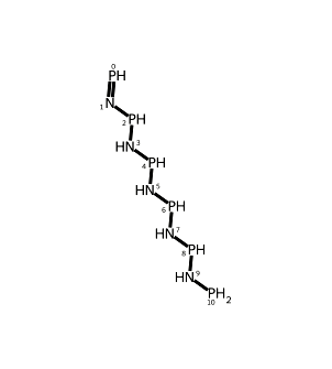 P=NPNPNPNPNP